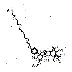 CC(=O)SCCOCCOCCOCCOCCOc1ccc(C(C)(C)C(C(=O)NC(C(=O)N(C)C(/C=C(\C)C(=O)O)C(C)C)C(C)(C)C)N(C)C(=O)OC(C)(C)C)cc1